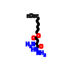 CCCCCCCCCCCCCCCCOC(=O)C[C@H](N)C(=O)NN